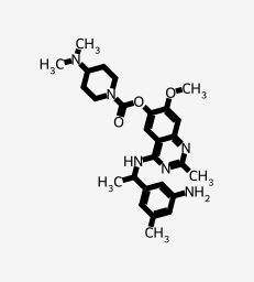 COc1cc2nc(C)nc(NC(C)c3cc(C)cc(N)c3)c2cc1OC(=O)N1CCC(N(C)C)CC1